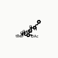 CC(=O)OCc1ccc(CN(C(=O)OC(C)(C)C)C(=O)OC(C)(C)C)cc1C1=CCN(C(=O)c2cncc(CCc3ccccc3)c2)CC1